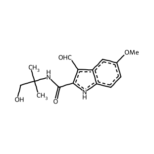 COc1ccc2[nH]c(C(=O)NC(C)(C)CO)c(C=O)c2c1